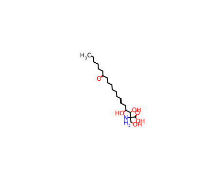 CCCCCCC(=O)CCCCCCC=CCC(O)C(O)C(N)(CO)C(=O)O